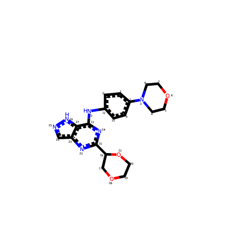 c1cc(N2CCOCC2)ccc1Nc1nc(C2COCCO2)nc2cn[nH]c12